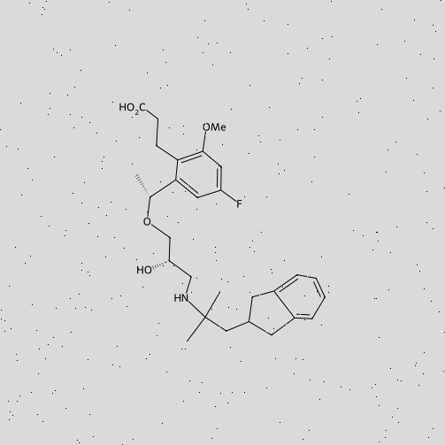 COc1cc(F)cc([C@@H](C)OC[C@@H](O)CNC(C)(C)CC2Cc3ccccc3C2)c1CCC(=O)O